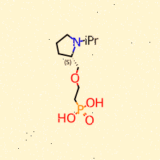 CC(C)N1CCC[C@H]1COCCP(=O)(O)O